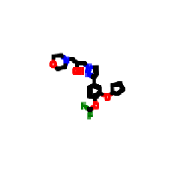 OC(CN1CCOCC1)Cn1ccc(-c2ccc(OC(F)F)c(OC3CCCC3)c2)n1